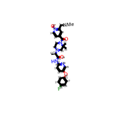 CNCc1cc(C(=O)N2CCN([C@H](C)C(=O)Nc3ccc(Oc4ccc(F)cc4)cn3)CC2(C)C)cc[n+]1[O-]